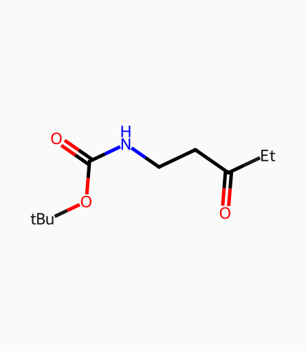 CCC(=O)CCNC(=O)OC(C)(C)C